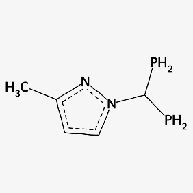 Cc1ccn(C(P)P)n1